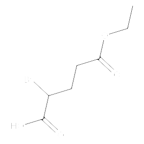 CCOC(=O)CCC(Br)C(=O)O